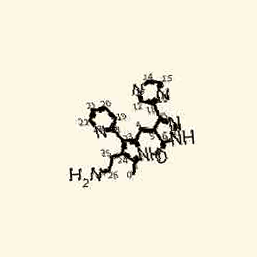 Cc1[nH]c(C=C2C(=O)NN=C2c2cnccn2)c(-c2ccccn2)c1CCN